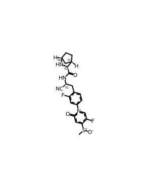 C[S+]([O-])c1cc(=O)n(-c2ccc(C[C@@H](C#N)NC(=O)[C@H]3N[C@@H]4CC[C@H]3C4)c(F)c2)cc1F